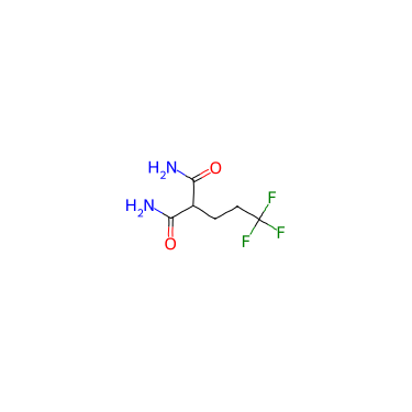 NC(=O)C(CCC(F)(F)F)C(N)=O